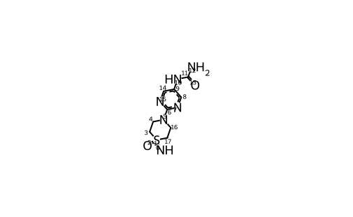 N=S1(=O)CCN(c2ncc(NC(N)=O)cn2)CC1